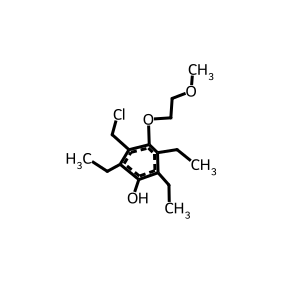 CCc1c(O)c(CC)c(CCl)c(OCCOC)c1CC